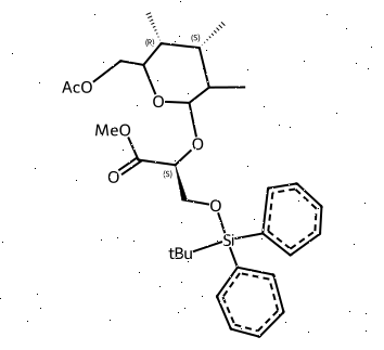 COC(=O)[C@H](CO[Si](c1ccccc1)(c1ccccc1)C(C)(C)C)OC1OC(COC(C)=O)[C@H](C)[C@H](C)C1C